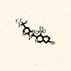 CCS(=O)(=O)c1c(-c2nc3cc(C(F)(F)C(F)(F)F)cnc3n2C)ncc2cc(Br)ccc12